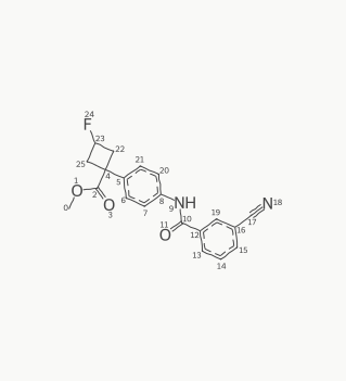 COC(=O)C1(c2ccc(NC(=O)c3cccc(C#N)c3)cc2)CC(F)C1